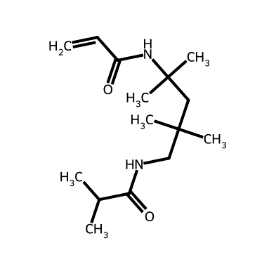 C=CC(=O)NC(C)(C)CC(C)(C)CNC(=O)C(C)C